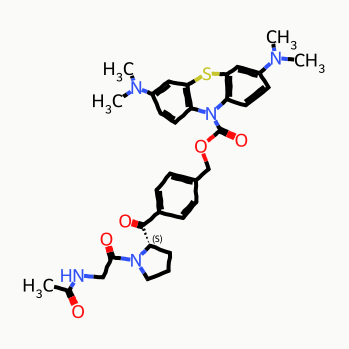 CC(=O)NCC(=O)N1CCC[C@H]1C(=O)c1ccc(COC(=O)N2c3ccc(N(C)C)cc3Sc3cc(N(C)C)ccc32)cc1